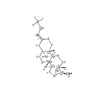 CC(C)(C)O/N=C1\CC[C@@]2(C)C(CC[C@H]3[C@@H]4CC[C@H](O)[C@@]4(C)CC[C@@H]32)C1